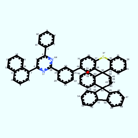 c1ccc(-c2cc(-c3cccc4ccccc34)nc(-c3cccc(-c4ccc5c(c4)C4(c6ccccc6S5)c5ccccc5C5(c6ccccc6-c6ccccc65)c5ccccc54)c3)n2)cc1